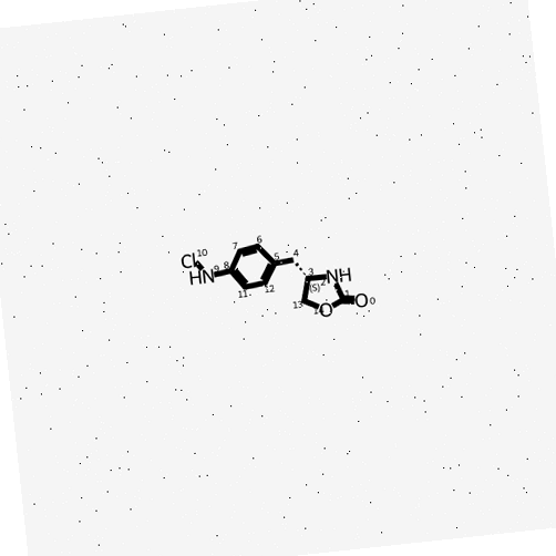 O=C1N[C@@H](Cc2ccc(NCl)cc2)CO1